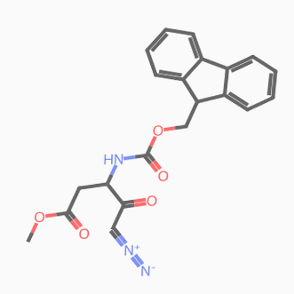 COC(=O)CC(NC(=O)OCC1c2ccccc2-c2ccccc21)C(=O)C=[N+]=[N-]